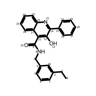 CCc1cccc(CNC(=O)c2c(O)c(-c3ccccc3)nc3ccccc23)c1